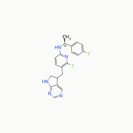 C[C@H](Nc1ccc(CC2CNc3ncncc32)c(F)n1)c1ccc(F)cc1